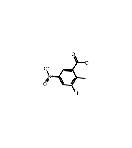 Cc1c(Cl)cc([N+](=O)[O-])cc1C(=O)Cl